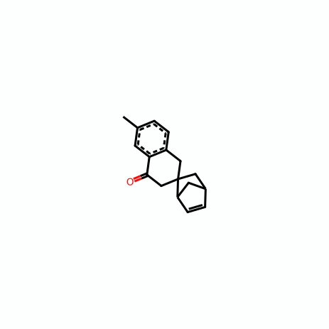 Cc1ccc2c(c1)C(=O)CC1(C2)CC2C=CC1C2